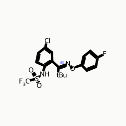 CC(C)(C)/C(=N\Oc1ccc(F)cc1)c1cc(Cl)ccc1NS(=O)(=O)C(F)(F)F